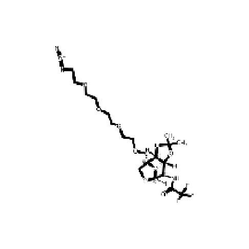 CC1(C)O[C@@H]2[C@@H](NC(=O)C(F)(F)F)[C@H]3OC[C@](COCCOCCOCCOCCN=[N+]=[N-])(O3)[C@@H]2O1